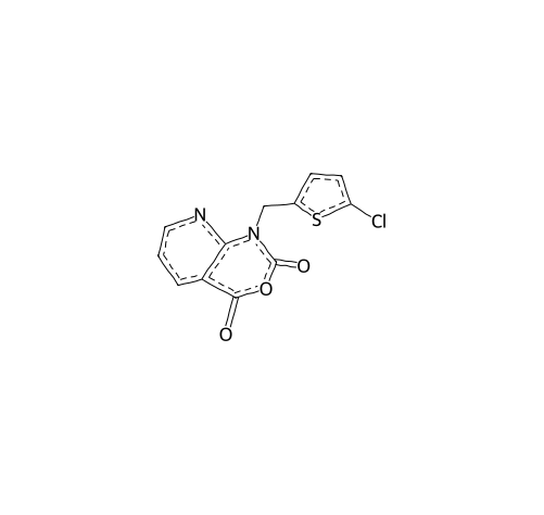 O=c1oc(=O)n(Cc2ccc(Cl)s2)c2ncccc12